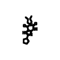 CCC[N+]1(CCC)C(=O)Nc2nc(C3CCCC3)[nH]c2C1=O